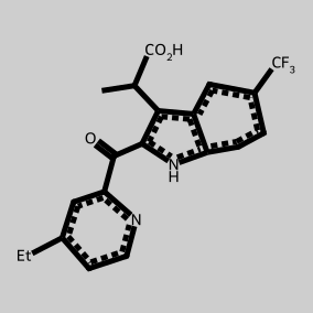 CCc1ccnc(C(=O)c2[nH]c3ccc(C(F)(F)F)cc3c2C(C)C(=O)O)c1